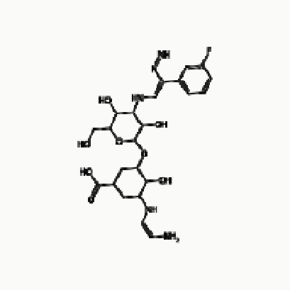 N=N/C(=C\NC1C(O)C(CO)OC(OC2CC(C(=O)O)CC(N/C=C\N)C2O)C1O)c1cccc(F)c1